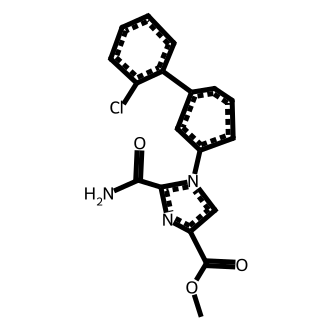 COC(=O)c1cn(-c2cccc(-c3ccccc3Cl)c2)c(C(N)=O)n1